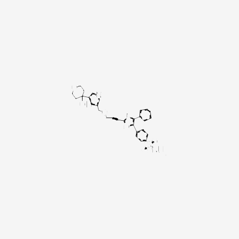 NS(=O)(=O)c1ccc(-c2oc(C#CCOCc3cncc(C4(O)CCOCC4)c3)nc2-c2ccccc2)cc1